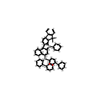 C=CC1=C(C=C)C(C)(C)c2c1ccc1c3c4ccccc4c(N(c4ccc(-c5ccccc5)cc4)c4ccccc4-c4ccccc4)cc3n(-c3ccccc3)c21